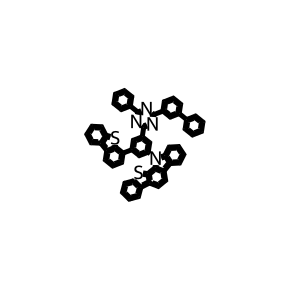 c1ccc(-c2cccc(-c3nc(-c4ccccc4)nc(-c4cc(-c5cccc6c5sc5ccccc56)cc(-n5c6ccccc6c6ccc7c8ccccc8sc7c65)c4)n3)c2)cc1